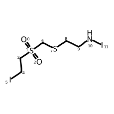 O=S(=O)(CCI)CSCCNI